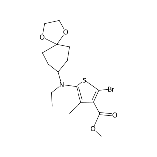 CCN(c1sc(Br)c(C(=O)OC)c1C)C1CCC2(CC1)OCCO2